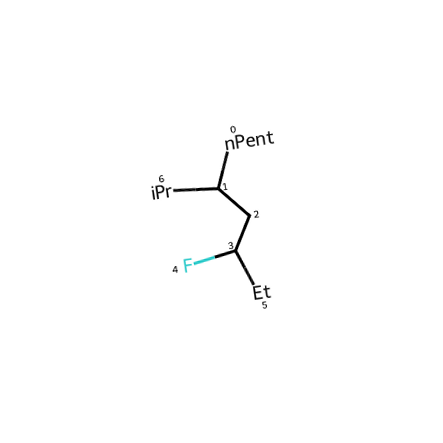 CCCCCC(CC(F)CC)C(C)C